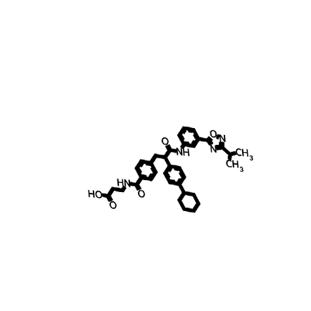 CC(C)c1noc(-c2cccc(NC(=O)C(Cc3ccc(C(=O)NCCC(=O)O)cc3)c3ccc(C4CCCCC4)cc3)c2)n1